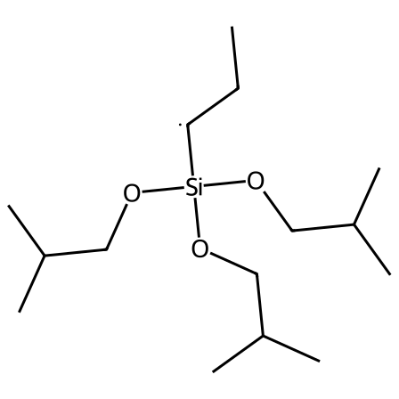 CC[CH][Si](OCC(C)C)(OCC(C)C)OCC(C)C